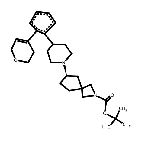 CC(C)(C)OC(=O)N1CC2(CC[C@@H](N3CCC(c4ccccc4C4=CCOCC4)CC3)C2)C1